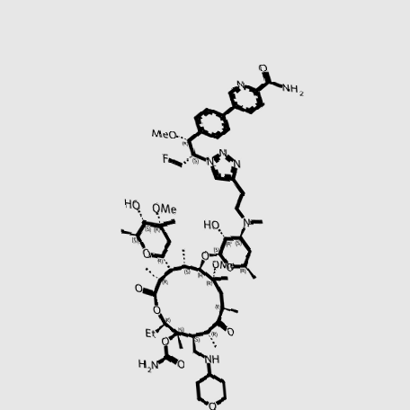 CC[C@H]1OC(=O)[C@H](C)C([C@H]2C[C@@](C)(OC)[C@@H](O)[C@H](C)O2)[C@H](C)[C@@H](O[C@@H]2O[C@H](C)C[C@H](N(C)CCc3cn([C@H](CF)[C@H](OC)c4ccc(-c5ccc(C(N)=O)nc5)cc4)nn3)[C@H]2O)[C@](C)(OC)C[C@@H](C)C(=O)[C@H](C)[C@@H](CNC2CCOCC2)[C@]1(C)OC(N)=O